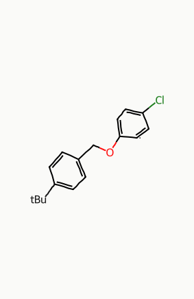 CC(C)(C)c1ccc(COc2[c]cc(Cl)cc2)cc1